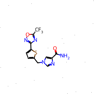 NC(=O)c1cn(Cc2ccc(-c3noc(C(F)(F)F)n3)s2)cn1